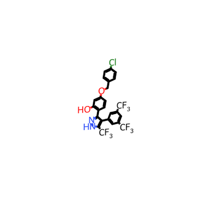 Oc1cc(OCc2ccc(Cl)cc2)ccc1-c1n[nH]c(C(F)(F)F)c1-c1cc(C(F)(F)F)cc(C(F)(F)F)c1